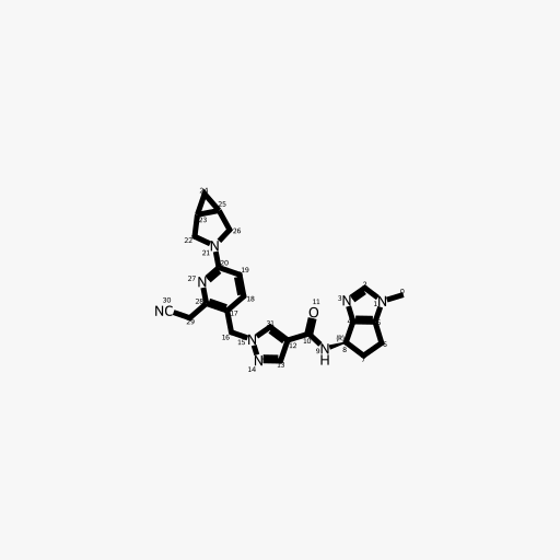 Cn1cnc2c1CC[C@H]2NC(=O)c1cnn(Cc2ccc(N3CC4CC4C3)nc2CC#N)c1